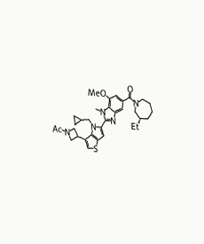 CC[C@@H]1CCCCN(C(=O)c2cc(OC)c3c(c2)nc(-c2cc4scc(C5CN(C(C)=O)C5)c4n2CC2CC2)n3C)C1